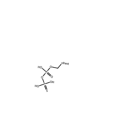 CCCCCCOP(=O)(O)OP(O)(O)=S